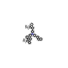 CC1(C)c2ccccc2-c2ccc(-c3ccc(N(c4ccc(-c5ccc6c(ccc7ccccc76)c5)cc4)c4ccc(-c5ccccc5-c5cccc6c5C(C)(C)c5ccccc5-6)cc4)cc3)cc21